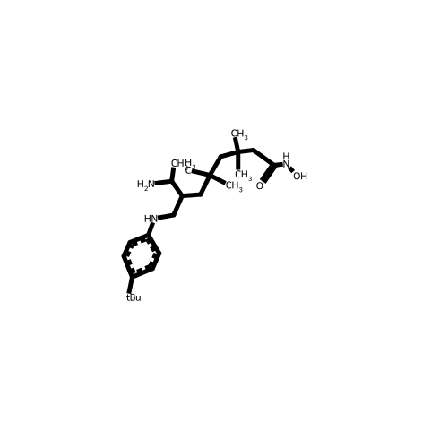 CC(N)C(CNc1ccc(C(C)(C)C)cc1)CC(C)(C)CC(C)(C)CC(=O)NO